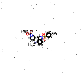 CC(C)c1ccc(S(=O)(=O)n2ccc3c(N(C)C4CCN(C(=O)OC(C)(C)C)CC4)cccc32)cc1